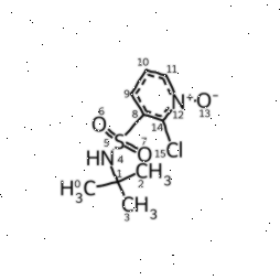 CC(C)(C)NS(=O)(=O)c1ccc[n+]([O-])c1Cl